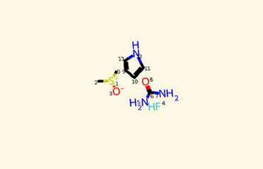 C[S+](C)[O-].F.NC(N)=O.c1cc[nH]c1